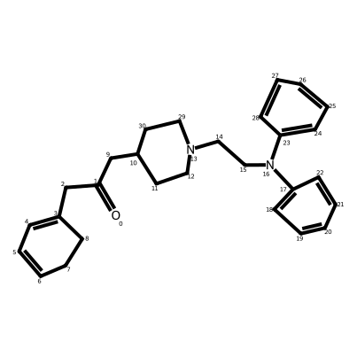 O=C(CC1=CC=CCC1)CC1CCN(CCN(c2ccccc2)c2ccccc2)CC1